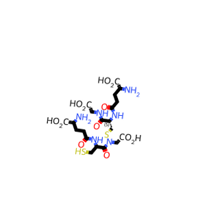 NC(CCC(=O)NC(CS)C(=O)N(CC(=O)O)SC[C@@H](NC(=O)CCC(N)C(=O)O)C(=O)NCC(=O)O)C(=O)O